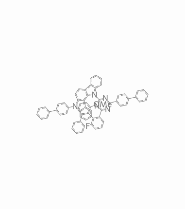 COc1cccc(-c2ccccc2)c1-c1c(F)cccc1-c1nc(-c2ccc(-c3ccccc3)cc2)nc(-n2c3ccccc3c3ccc4c(c5ccccc5n4-c4ccc(-c5ccccc5)cc4)c32)n1